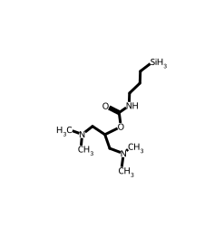 CN(C)CC(CN(C)C)OC(=O)NCCC[SiH3]